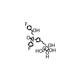 O=C1[C@H](CC[C@H](O)c2ccc(F)cc2)[C@@H](c2ccc(CCC[C@@H]3O[C@H](CO)[C@@H](O)[C@H](O)[C@H]3O)cc2)N1c1ccc(F)cc1